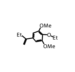 C=C(CC)c1cc(OC)c(OCC)c(OC)c1